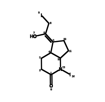 O=C1CCC2C(=C(O)CI)CCC2N1I